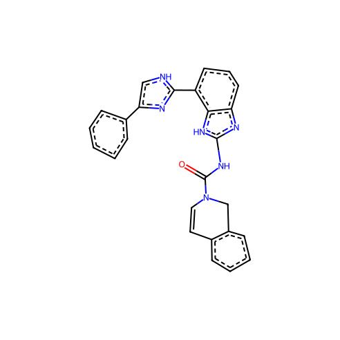 O=C(Nc1nc2cccc(-c3nc(-c4ccccc4)c[nH]3)c2[nH]1)N1C=Cc2ccccc2C1